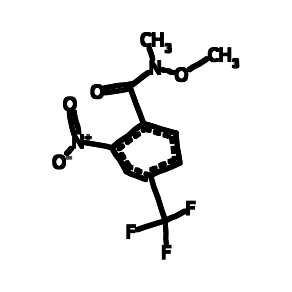 CON(C)C(=O)c1ccc(C(F)(F)F)cc1[N+](=O)[O-]